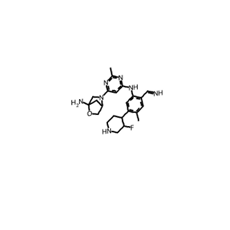 Cc1nc(Nc2cc(C3CCNCC3F)c(C)cc2C=N)cc(N2CC3(N)CC2CO3)n1